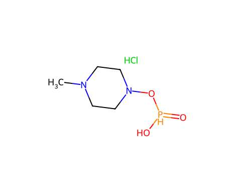 CN1CCN(O[PH](=O)O)CC1.Cl